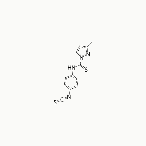 Cc1ccn(C(=S)Nc2ccc(N=C=S)cc2)n1